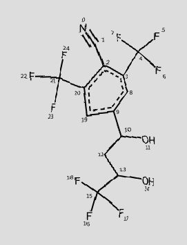 N#Cc1c(C(F)(F)F)cc(C(O)CC(O)C(F)(F)F)cc1C(F)(F)F